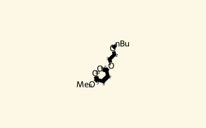 CCCCOCCOC(=O)/C=C\C(=O)OC